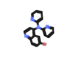 Brc1ccc2nccc(N(c3ccccn3)c3ccccn3)c2c1